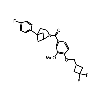 COc1cc(C(=O)N2CCC3(c4ccc(F)cc4)CC2C3)ccc1OCC1CC(F)(F)C1